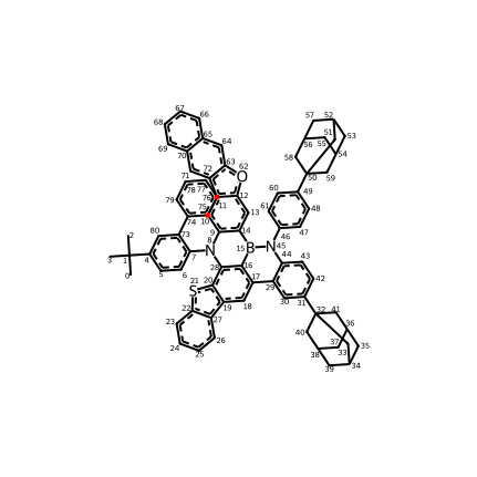 CC(C)(C)c1ccc(N2c3cc4c(cc3B3c5c(cc6c(sc7ccccc76)c52)-c2cc(C56CC7CC(CC(C7)C5)C6)ccc2N3c2ccc(C35CC6CC(CC(C6)C3)C5)cc2)oc2cc3ccccc3cc24)c(-c2ccccc2)c1